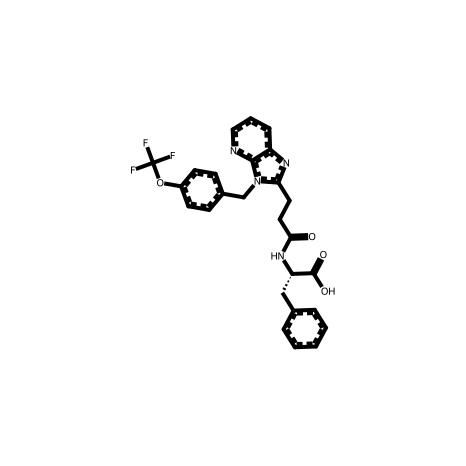 O=C(CCc1nc2cccnc2n1Cc1ccc(OC(F)(F)F)cc1)N[C@@H](Cc1ccccc1)C(=O)O